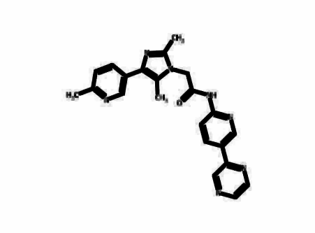 Cc1ccc(-c2nc(C)n(CC(=O)Nc3ccc(-c4cnccn4)cn3)c2C)cn1